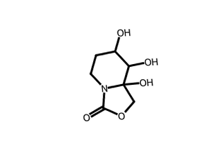 O=C1OCC2(O)C(O)C(O)CCN12